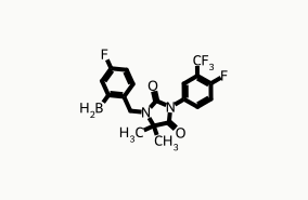 Bc1cc(F)ccc1CN1C(=O)N(c2ccc(F)c(C(F)(F)F)c2)C(=O)C1(C)C